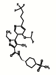 CCn1nc(C(=O)NC[C@H]2CC[C@H](S(C)(=O)=O)CC2)c(C)c1-c1cnc(CCCC(F)(F)F)cc1OC(F)F